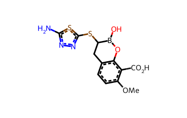 COc1ccc2c(c1C(=O)O)OB(O)C(Sc1nnc(N)s1)C2